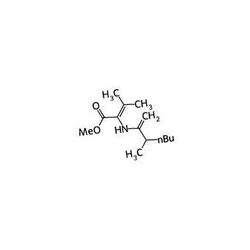 C=C(NC(C(=O)OC)=C(C)C)C(C)CCCC